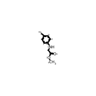 COC(=O)CNc1ccc(I)cc1